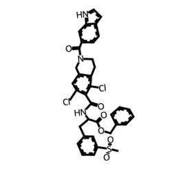 CS(=O)(=O)c1cccc(CC(NC(=O)c2c(Cl)cc3c(c2Cl)CCN(C(=O)c2ccc4cc[nH]c4c2)C3)C(=O)OCc2ccccc2)c1